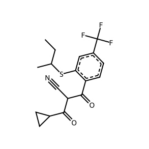 CCC(C)Sc1cc(C(F)(F)F)ccc1C(=O)C(C#N)C(=O)C1CC1